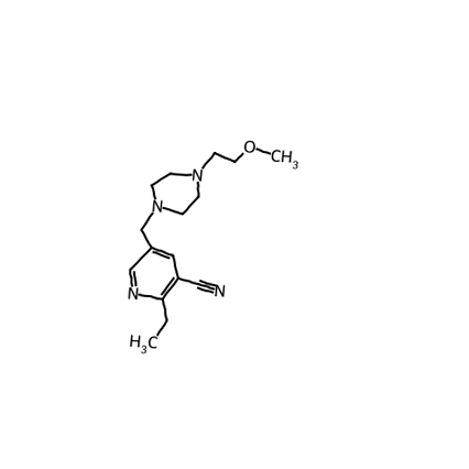 CCc1ncc(CN2CCN(CCOC)CC2)cc1C#N